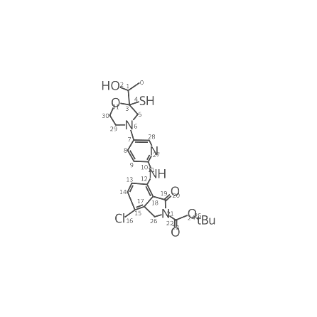 CC(O)C1(S)CN(c2ccc(Nc3ccc(Cl)c4c3C(=O)N(C(=O)OC(C)(C)C)C4)nc2)CCO1